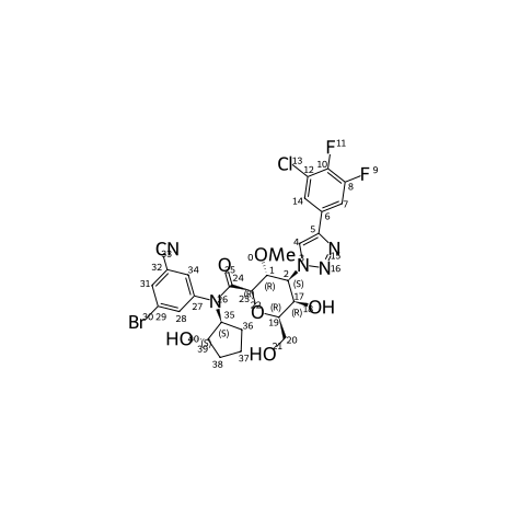 CO[C@@H]1[C@@H](n2cc(-c3cc(F)c(F)c(Cl)c3)nn2)[C@@H](O)[C@@H](CO)O[C@H]1C(=O)N(c1cc(Br)cc(C#N)c1)[C@H]1CCC[C@@H]1O